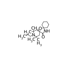 C=CCN1C(C)(C)CC2(CC1(C)C)OC1(CCCCC1)NC2=O